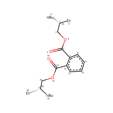 CCCC[C@H](CC)COC(=O)c1ccccc1C(=O)OC[C@@H](CC)CCCC